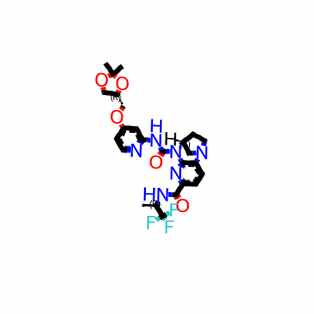 C[C@@H](NC(=O)c1ccc2c(n1)N(C(=O)Nc1cc(OC[C@@H]3COC(C)(C)O3)ccn1)[C@H]1CCN2C1)C(F)(F)F